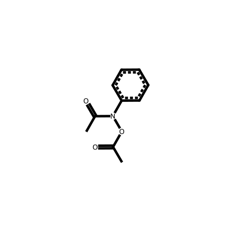 CC(=O)ON(C(C)=O)c1ccccc1